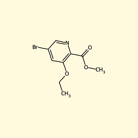 CCOc1cc(Br)cnc1C(=O)OC